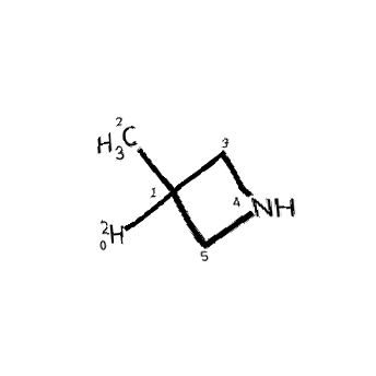 [2H]C1(C)CNC1